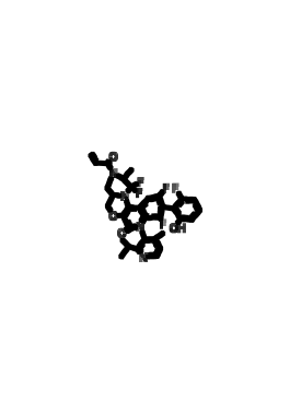 C=CC(=O)N1CC2COc3c(c4cc(F)c(-c5c(O)cccc5F)c(F)c4n(-c4c(C)ccnc4C(C)C)c3=O)N2C(F)(F)C1C